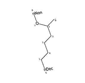 [CH2]C(CCCCCCCCCCCCCC)OCCCCCCCCC